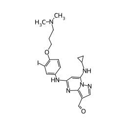 CN(C)CCCOc1ccc(Nc2cc(NC3CC3)n3ncc(C=O)c3n2)cc1I